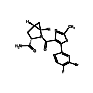 Cc1nc(C(=O)N2[C@H](C(N)=O)C[C@@H]3C[C@@H]32)c(-c2ccc(F)c(Br)c2)s1